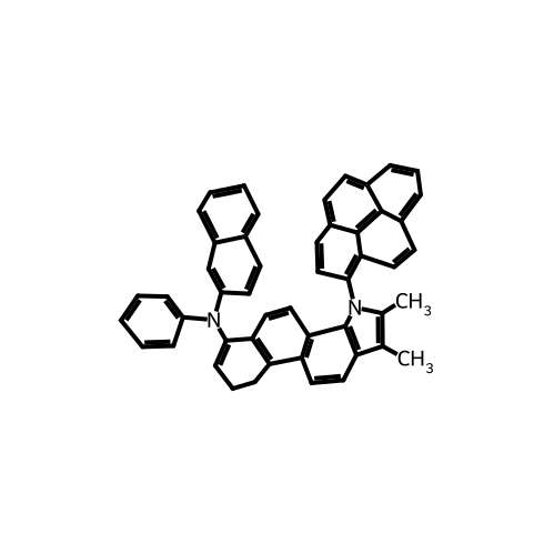 Cc1c(C)n(-c2ccc3ccc4cccc5ccc2c3c45)c2c1ccc1c3c(ccc12)C(N(c1ccccc1)c1ccc2ccccc2c1)=CCC3